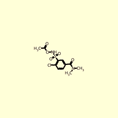 CC(=O)ONS(=O)(=O)c1cc(C(=O)N(C)C)ccc1Cl